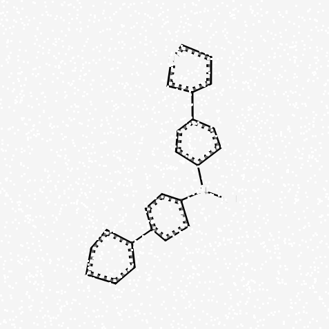 CN(c1ccc(-c2ccccc2)cc1)c1ccc(-c2cccnc2)cc1